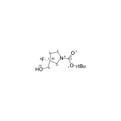 CC(C)(C)OC(=O)N1CC[C@](F)(CO)C1